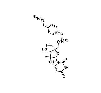 C[C@@]1(O)[C@H](O)[C@@](CF)(CO[PH](=O)Oc2ccc(CN=[N+]=[N-])cc2)O[C@H]1n1ccc(=O)[nH]c1=O